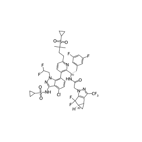 CC(C)(CCc1ccc(-c2ccc(Cl)c3c(NS(=O)(=O)C4CC4)nn(CC(F)F)c23)c([C@H](Cc2cc(F)cc(F)c2)NC(=O)Cn2nc(C(F)(F)F)c3c2C(F)(F)[C@@H]2CC32)n1)S(=O)(=O)C1CC1